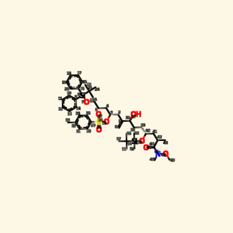 C=C(C[C@@H](CCCO[Si](c1ccccc1)(c1ccccc1)C(C)(C)C)OS(=O)(=O)c1ccc(C)cc1)[C@@H](O)CC[C@H](CC(C)C(=O)N(C)OC)O[Si](C)(C)C(C)(C)C